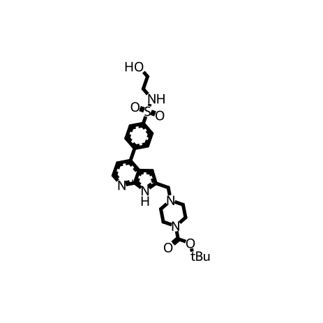 CC(C)(C)OC(=O)N1CCN(Cc2cc3c(-c4ccc(S(=O)(=O)NCCO)cc4)ccnc3[nH]2)CC1